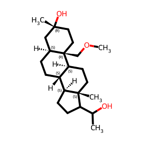 COC[C@]12CC[C@@](C)(O)C[C@@H]1CC[C@@H]1[C@@H]2CC[C@]2(C)C(C(C)O)CC[C@@H]12